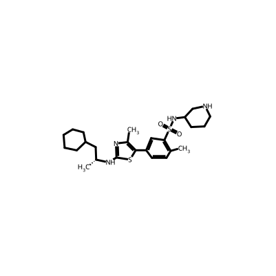 Cc1ccc(-c2sc(N[C@H](C)CC3CCCCC3)nc2C)cc1S(=O)(=O)NC1CCCNC1